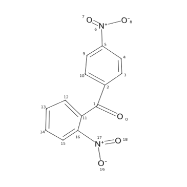 O=C(c1ccc([N+](=O)[O-])cc1)c1ccccc1[N+](=O)[O-]